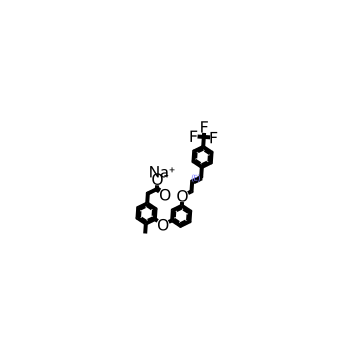 Cc1ccc(CC(=O)[O-])cc1Oc1cccc(OC/C=C/c2ccc(C(F)(F)F)cc2)c1.[Na+]